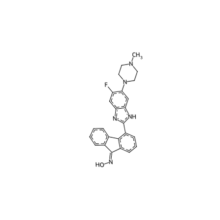 CN1CCN(c2cc3[nH]c(-c4cccc5c4-c4ccccc4C5=NO)nc3cc2F)CC1